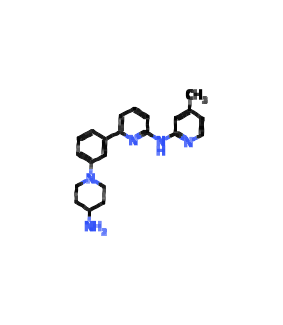 Cc1ccnc(Nc2cccc(-c3cccc(N4CCC(N)CC4)c3)n2)c1